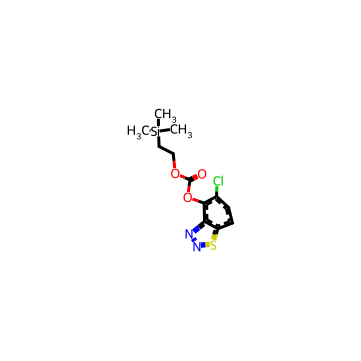 C[Si](C)(C)CCOC(=O)Oc1c(Cl)ccc2snnc12